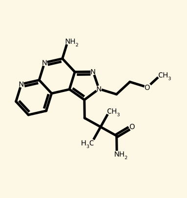 COCCn1nc2c(N)nc3ncccc3c2c1CC(C)(C)C(N)=O